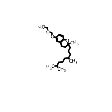 CC(C)CCCC(C)CCCC1(C)CCc2cc(OCOCO)ccc2O1